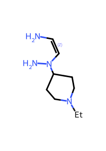 CCN1CCC(N(N)/C=C\N)CC1